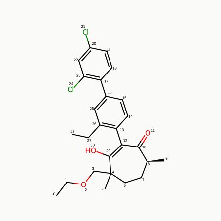 CCOCC1(C)CC[C@H](C)C(=O)C(c2ccc(-c3ccc(Cl)cc3Cl)cc2CC)=C1O